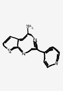 Nc1nc(-c2ccncc2)nc2sccc12